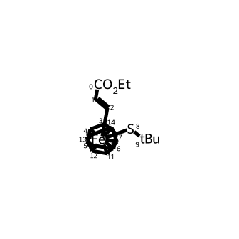 CCOC(=O)C=C[C]12[CH]3[CH]4[CH]5[C]1(SC(C)(C)C)[Fe]43521678[CH]2[CH]1[CH]6[CH]7[CH]28